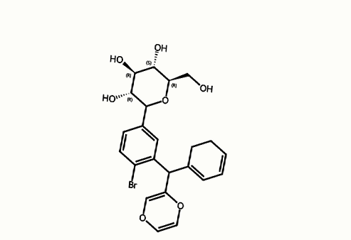 OC[C@H]1OC(c2ccc(Br)c(C(C3=CC=CCC3)C3=COC=CO3)c2)[C@H](O)[C@@H](O)[C@@H]1O